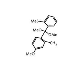 COc1ccc(C(OC)(OC)c2ccccc2SC)c(C)c1